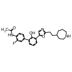 CC(=O)Nc1ccc(-c2cccc(-c3cnc(CCC4CCCNCC4)o3)c2O)cc1F